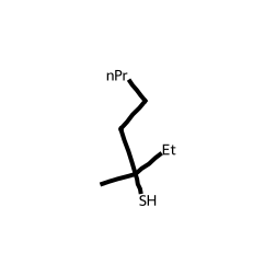 CCCCCC(C)(S)CC